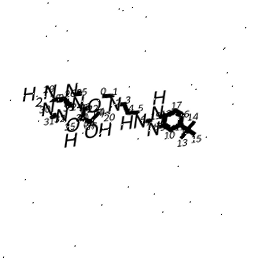 CCN(CCCNc1nc2cc(C(C)(C)C)ccc2[nH]1)C[C@H]1O[C@@H](n2cnc3c(N)ncnc32)[C@H](O)[C@@H]1O